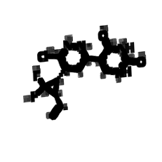 C=C[C@@H]1[C@@H](c2cc(-c3c[nH]c(=O)[nH]c3=O)nnc2Cl)C1(F)F